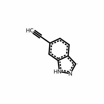 C#Cc1ccc2[c]n[nH]c2c1